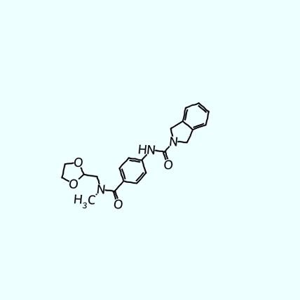 CN(CC1OCCO1)C(=O)c1ccc(NC(=O)N2Cc3ccccc3C2)cc1